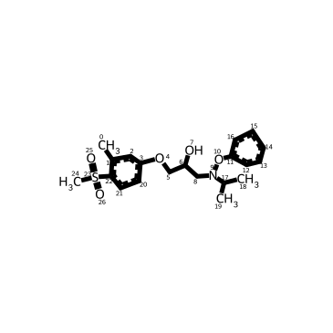 Cc1cc(OCC(O)CN(Oc2ccccc2)C(C)C)ccc1S(C)(=O)=O